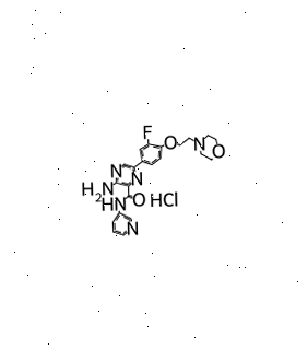 Cl.Nc1ncc(-c2ccc(OCCN3CCOCC3)c(F)c2)nc1C(=O)Nc1cccnc1